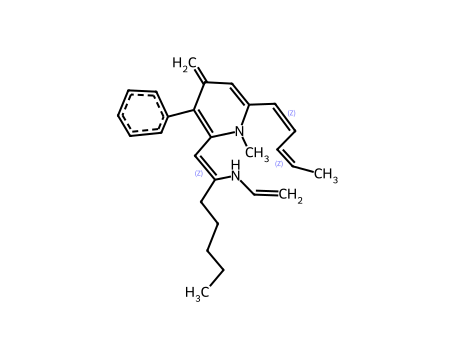 C=CN/C(=C\C1=C(c2ccccc2)C(=C)C=C(/C=C\C=C/C)N1C)CCCCC